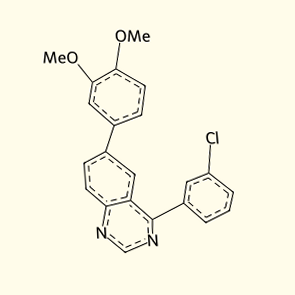 COc1ccc(-c2ccc3ncnc(-c4cccc(Cl)c4)c3c2)cc1OC